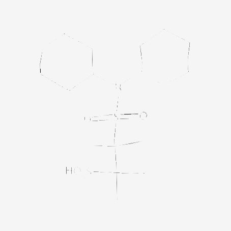 CC(C)(C(C)(C)S(=O)(=O)N(C1CCCCC1)C1CCCCC1)S(=O)(=O)O